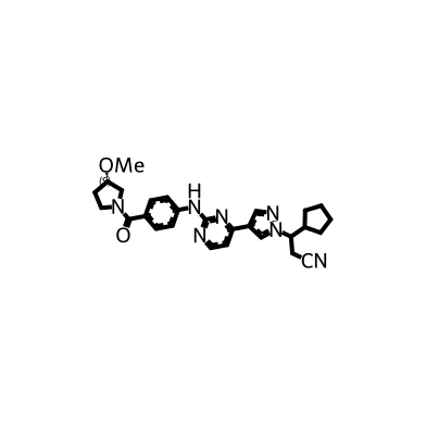 CO[C@H]1CCN(C(=O)c2ccc(Nc3nccc(-c4cnn(C(CC#N)C5CCCC5)c4)n3)cc2)C1